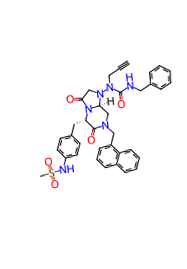 C#CCN(C(=O)NCc1ccccc1)N1CC(=O)N2[C@@H](Cc3ccc(NS(C)(=O)=O)cc3)C(=O)N(Cc3cccc4ccccc34)C[C@@H]21